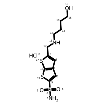 Cl.NS(=O)(=O)c1cc2cc(CNCCCCO)sc2s1